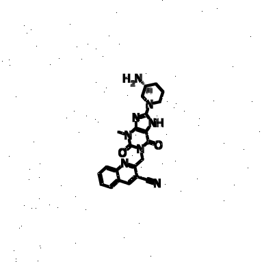 Cn1c(=O)n(Cc2nc3ccccc3cc2C#N)c(=O)c2[nH]c(N3CCC[C@@H](N)C3)nc21